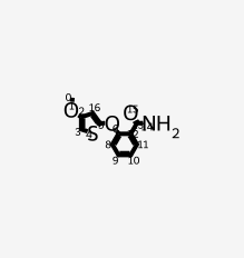 COc1csc(Oc2ccccc2C(N)=O)c1